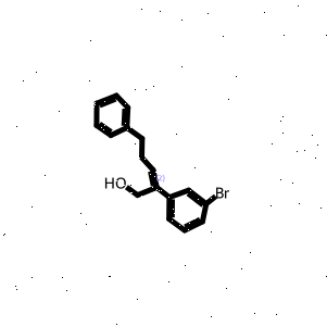 OC/C(=C\CCc1ccccc1)c1cccc(Br)c1